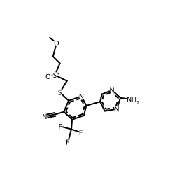 COCC[S+]([O-])CSc1nc(-c2cnc(N)nc2)cc(C(F)(F)F)c1C#N